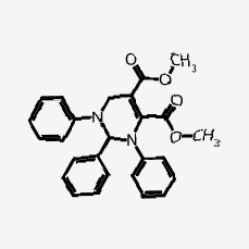 COC(=O)C1=C(C(=O)OC)N(c2ccccc2)C(c2ccccc2)N(c2ccccc2)C1